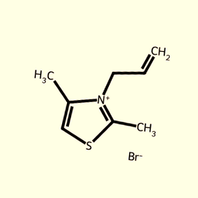 C=CC[n+]1c(C)csc1C.[Br-]